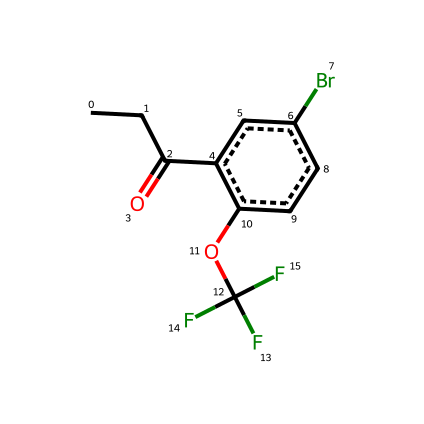 CCC(=O)c1cc(Br)ccc1OC(F)(F)F